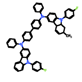 CC1C=CC2c3cc(N(c4ccccc4)c4ccc(-c5ccc(N(c6ccccc6)c6ccc7c(c6)c6ccccc6n7-c6ccc(F)cc6)cc5)cc4)ccc3N(c3ccc(F)cc3)C2C1